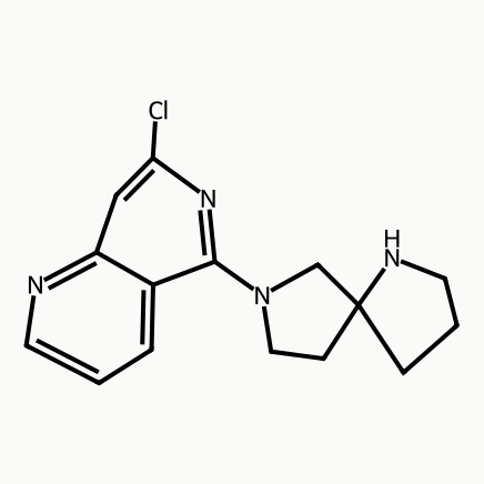 Clc1cc2ncccc2c(N2CCC3(CCCN3)C2)n1